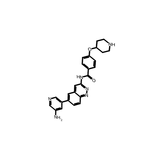 Nc1cncc(-c2ccc3nnc(NC(=O)c4ccc(OC5CCNCC5)cc4)cc3c2)c1